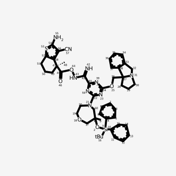 CC1(O[Si](c2ccccc2)(c2ccccc2)C(C)(C)C)COCCN(c2nc(OCC34CCCN3Cc3ccccc34)nc(C(=N)NOC(=O)[C@@]3(C)CCCc4sc(N)c(C#N)c43)n2)C1